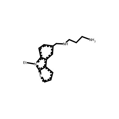 CCn1c2ccccc2c2cc(CNCCCN)ccc21